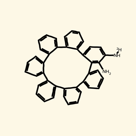 [2H]Nc1ccc2c3ccccc3c3ccccc3c3ccccc3c3ccccc3c3ccccc3c3ccccc3c2c1N